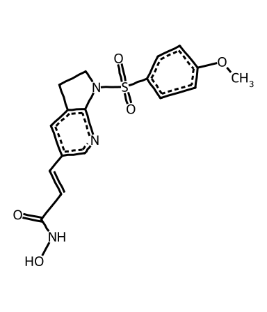 COc1ccc(S(=O)(=O)N2CCc3cc(/C=C/C(=O)NO)cnc32)cc1